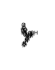 COc1cc(C)c(S(=O)(=O)N(Cc2nc(C(=O)N3CCN(CCN4CCCCC4)CC3)co2)C2CC2)c(C)c1.O=C(O)C(F)(F)F